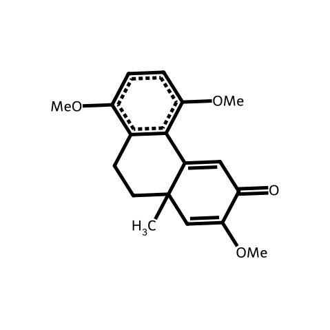 COC1=CC2(C)CCc3c(OC)ccc(OC)c3C2=CC1=O